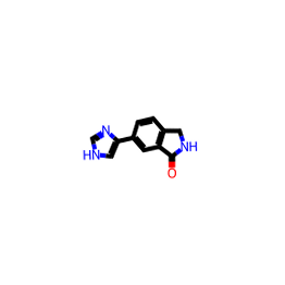 O=C1NCc2ccc(-c3c[nH]cn3)cc21